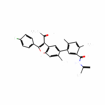 C=C(CC)NC(=O)c1cc(-c2cc3c(C(=O)NC)c(-c4ccc(F)cc4)oc3cc2CCC)c(C)cc1OC